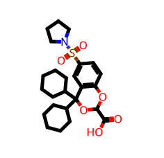 O=C(O)C1Oc2ccc(S(=O)(=O)N3CCCC3)cc2C(C2CCCCC2)(C2CCCCC2)O1